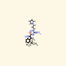 CC(C)(C)c1cccc2[nH]c(C(=O)N=C(N)NCCCN3CCCC3)cc12